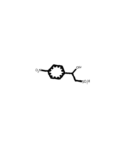 O=[N+]([O-])c1ccc(C(O)CS(=O)(=O)O)cc1